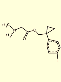 CN(C)CC(=O)OCC1(c2ccc(I)cc2)CC1